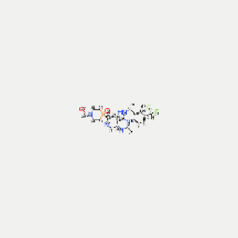 Cc1nc(N[C@H](C)c2cccc(C(F)(F)F)c2C)c2cc(P3(=O)CCN(C=O)CC3)ncc2n1